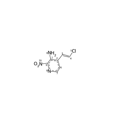 Nc1c(C=CCl)ccnc1[N+](=O)[O-]